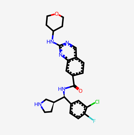 O=C(N[C@@H](c1ccc(F)c(Cl)c1)[C@H]1CCNC1)c1ccc2cnc(NC3CCOCC3)nc2c1